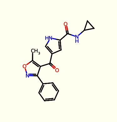 Cc1onc(-c2ccccc2)c1C(=O)c1c[nH]c(C(=O)NC2CC2)c1